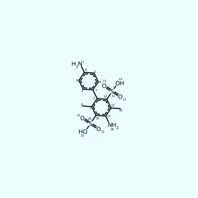 Cc1c(-c2ccc(N)cc2)c(S(=O)(=O)O)c(C)c(N)c1S(=O)(=O)O